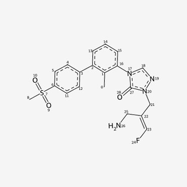 Cc1c(-c2ccc(S(C)(=O)=O)cc2)cccc1-n1cnn(C/C(=C/F)CN)c1=O